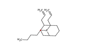 C=CCC1CCC2CCCC1(CC=C)P2CCCCC